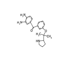 CC(C)(Oc1cccc(C(=O)c2ccc(N)c(N)c2)c1)C1CCCN1